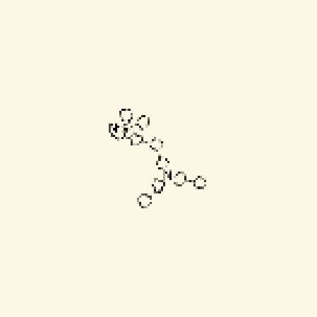 c1ccc(-c2ccc(N(c3ccc(-c4ccccc4)cc3)c3ccc(-c4cccc(-c5ccc6c(c5)[Si](c5ccccc5)(c5ccccc5)c5cnccc5-6)c4)cc3)cc2)cc1